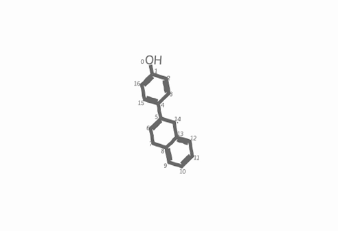 Oc1ccc(C2=CCc3ccccc3[CH]2)cc1